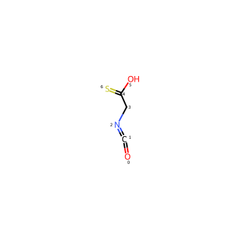 O=C=NCC(O)=S